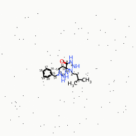 CC(C)CCN1NNC(=O)C12CCN(Cc1ccccc1)NN2